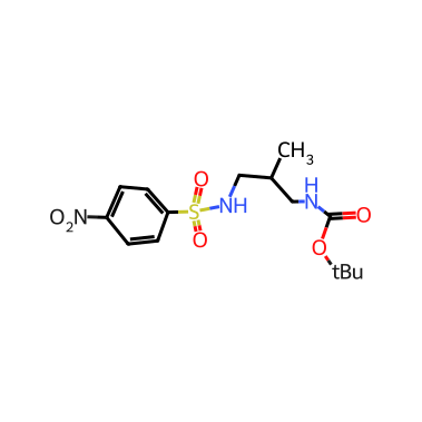 CC(CNC(=O)OC(C)(C)C)CNS(=O)(=O)c1ccc([N+](=O)[O-])cc1